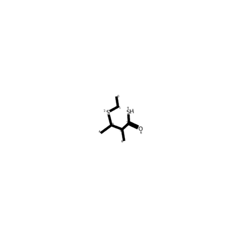 CCSC(C)C(C)C(=O)S